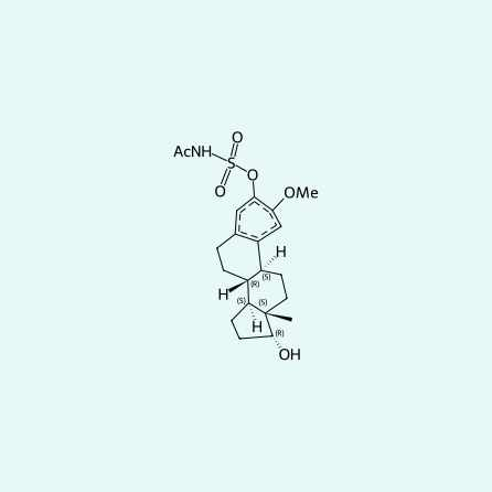 COc1cc2c(cc1OS(=O)(=O)NC(C)=O)CC[C@@H]1[C@@H]2CC[C@]2(C)[C@H](O)CC[C@@H]12